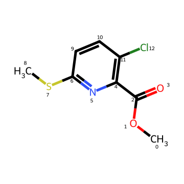 COC(=O)c1nc(SC)ccc1Cl